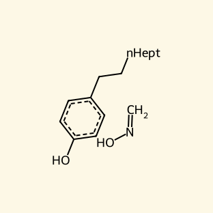 C=NO.CCCCCCCCCc1ccc(O)cc1